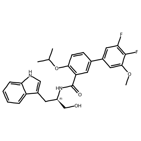 COc1cc(-c2ccc(OC(C)C)c(C(=O)N[C@@H](CO)Cc3c[nH]c4ccccc34)c2)cc(F)c1F